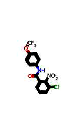 O=C(Nc1ccc(OC(F)(F)F)cc1)c1cccc(Cl)c1[N+](=O)[O-]